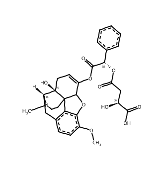 COc1ccc2c3c1OC1C(OC(=O)[C@@H](OC(=O)C[C@H](O)C(=O)O)c4ccccc4)=CC[C@@]4(O)[C@@H](C2)N(C)CCC314